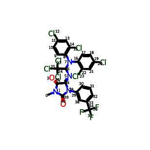 CN1C(=O)C(=NC(N(c2ccc(Cl)cc2Cl)c2ccc(Cl)cc2Cl)C(Cl)(Cl)Cl)N(c2cccc(C(F)(F)F)c2)C1=O